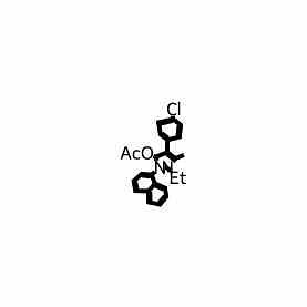 CCN1C(C)=C(c2ccc(Cl)cc2)C(OC(C)=O)N1c1cccc2ccccc12